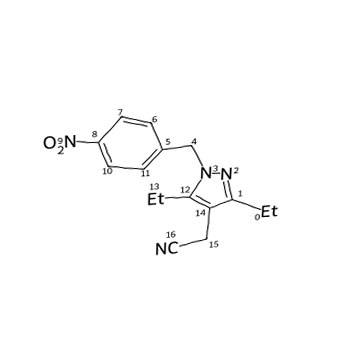 CCc1nn(Cc2ccc([N+](=O)[O-])cc2)c(CC)c1CC#N